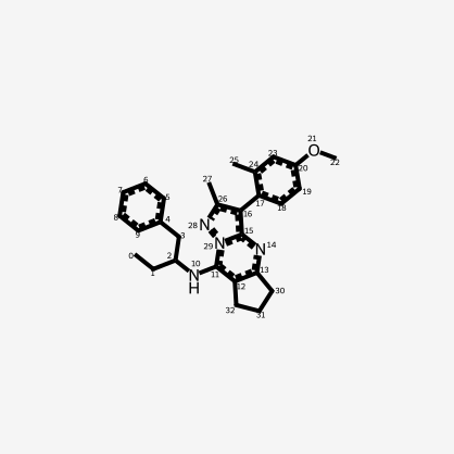 CCC(Cc1ccccc1)Nc1c2c(nc3c(-c4ccc(OC)cc4C)c(C)nn13)CCC2